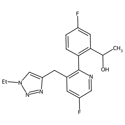 CCn1cc(Cc2cc(F)cnc2-c2ccc(F)cc2C(C)O)nn1